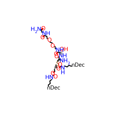 CCCCCCCCCCCCCCNC(=O)OCC[C@H](CSC[C@H](N)C(=O)N[C@@H](CO)C(=O)NCCOCCOCCC(=O)NCC(N)=O)OC(=O)NCCCCCCCCCCCCCC